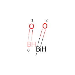 B=O.[O]=[BiH]